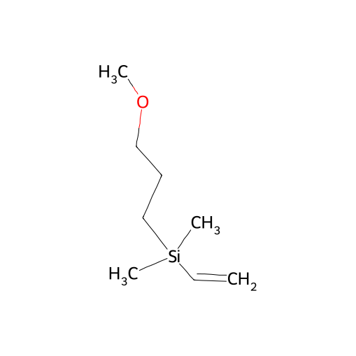 C=C[Si](C)(C)CCCOC